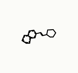 C(=CC1CCCCC1)c1ccc2ccccc2c1